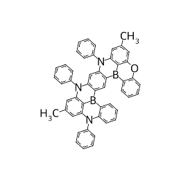 Cc1cc2c3c(c1)N(c1ccccc1)c1cc4c(cc1B3c1ccccc1O2)B1c2ccccc2N(c2ccccc2)c2cc(C)cc(c21)N4c1ccccc1